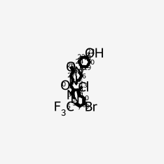 O=C(c1nn2c(C(F)(F)F)cc(Br)cc2c1Cl)N1CCN([C@H]2CC[C@H](O)CC2)C(=O)C1